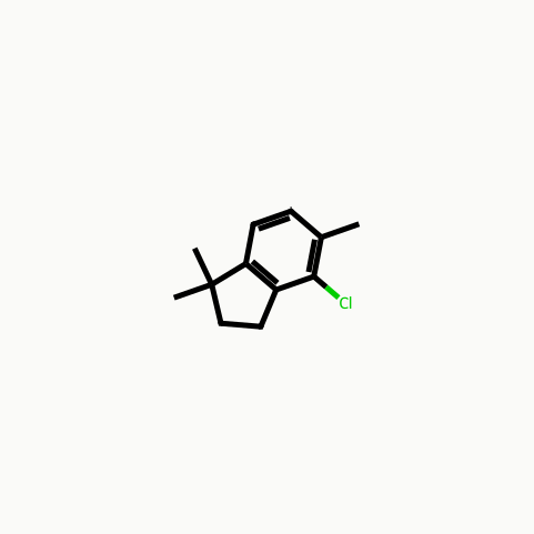 Cc1[c]cc2c(c1Cl)CCC2(C)C